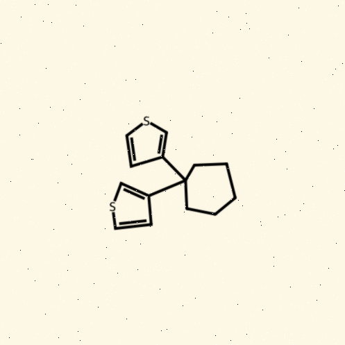 c1cc(C2(c3ccsc3)CCCCC2)cs1